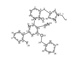 CCn1cc(Cc2cccn(-c3nc(-c4ccccc4F)cc(OCc4ccccc4)c3C#N)c2=O)cn1